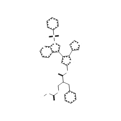 CC(C)(C)OC(=O)NCC(Cc1ccccc1)C(=O)Nc1cc(-c2cn(S(=O)(=O)c3ccccc3)c3ncccc23)c(-c2ccoc2)s1